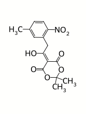 Cc1ccc([N+](=O)[O-])c(CC(O)=C2C(=O)OC(C)(C)OC2=O)c1